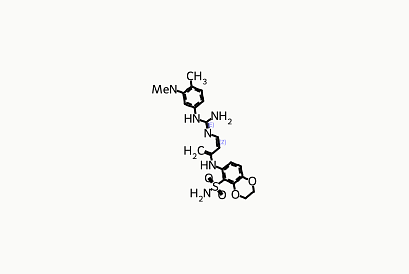 C=C(/C=C\N=C(/N)Nc1ccc(C)c(NC)c1)Nc1ccc2c(c1S(N)(=O)=O)OCCO2